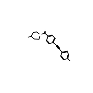 C=C(c1ccc(C#Cc2ccc(F)cc2)cc1)N1CCC(O)CC1